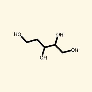 OCCC(O)[C](O)CO